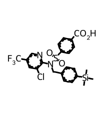 C[Si](C)(C)c1ccc(CN(c2ncc(C(F)(F)F)cc2Cl)S(=O)(=O)c2ccc(C(=O)O)cc2)cc1